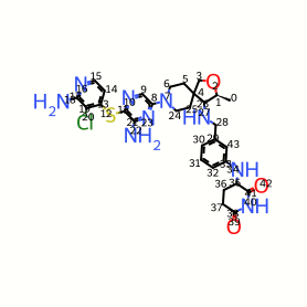 C[C@@H]1OCC2(CCN(c3cnc(Sc4ccnc(N)c4Cl)c(N)n3)CC2)[C@@H]1NCc1cccc(NC2CCC(=O)NC2=O)c1